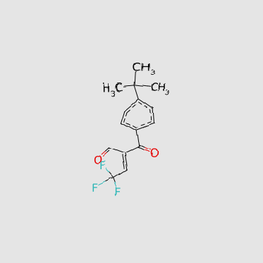 CC(C)(C)c1ccc(C(=O)C(C=O)=CC(F)(F)F)cc1